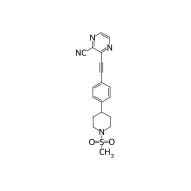 CS(=O)(=O)N1CCC(c2ccc(C#Cc3nccnc3C#N)cc2)CC1